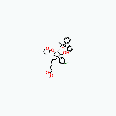 COC(=O)CCC/C=C\C[C@@]1(c2ccc(F)cc2)C[C@@H](OC2CCCCO2)[C@H](CO[Si](c2ccccc2)(c2ccccc2)C(C)(C)C)[C@H]1CO